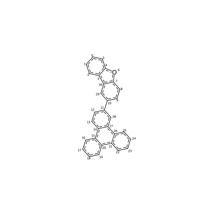 c1ccc2c(c1)oc1ccc(-c3ccc4c5ccccc5c5ccccc5c4c3)cc12